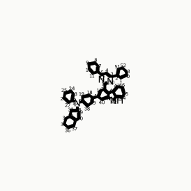 C1=CC(c2cc(-c3ccccc3)nc(-c3cc(-c4ccc(N(c5ccccc5)c5ccc6c(c5)CCC=C6)cc4)cc4[nH]c5ccccc5c34)n2)=CCC1